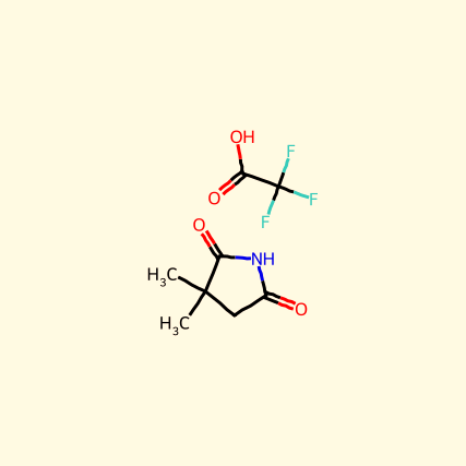 CC1(C)CC(=O)NC1=O.O=C(O)C(F)(F)F